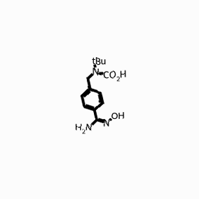 CC(C)(C)N(Cc1ccc(/C(N)=N\O)cc1)C(=O)O